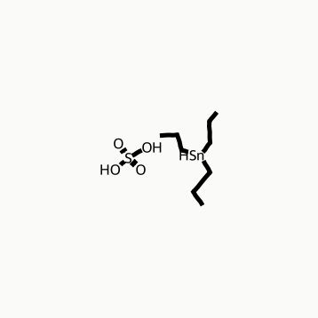 CC[CH2][SnH]([CH2]CC)[CH2]CC.O=S(=O)(O)O